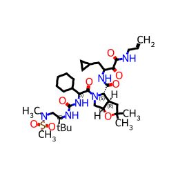 C=CCNC(=O)C(=O)C(CC1CC1)NC(=O)[C@@H]1[C@H]2CC(C)(C)O[C@H]2CN1C(=O)[C@@H](NC(=O)N[C@H](CN(C)S(C)(=O)=O)C(C)(C)C)C1CCCCC1